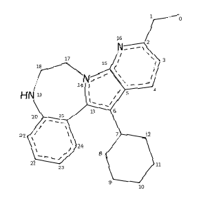 CCc1ccc2c(C3CCCCC3)c3n(c2n1)CCNc1ccccc1-3